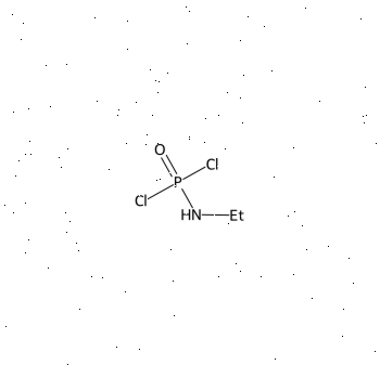 CCNP(=O)(Cl)Cl